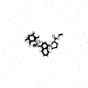 CCOC(=O)[C@H]1CCCN(c2ccc(NS(=O)(=O)c3c(C)c(C)cc(C)c3C)c3ccccc23)C1